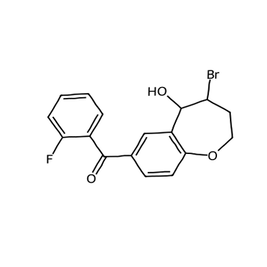 O=C(c1ccc2c(c1)C(O)C(Br)CCO2)c1ccccc1F